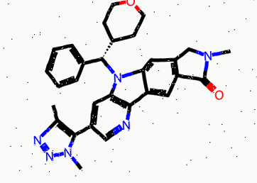 Cc1nnn(C)c1-c1cnc2c3cc4c(cc3n([C@H](c3ccccc3)C3CCOCC3)c2c1)CN(C)C4=O